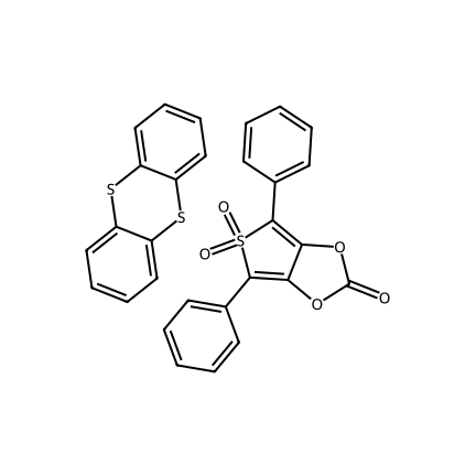 O=c1oc2c(o1)=C(c1ccccc1)S(=O)(=O)C=2c1ccccc1.c1ccc2c(c1)Sc1ccccc1S2